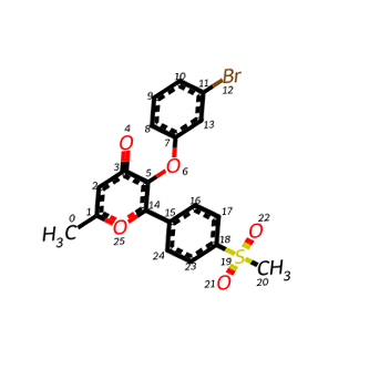 Cc1cc(=O)c(Oc2cccc(Br)c2)c(-c2ccc(S(C)(=O)=O)cc2)o1